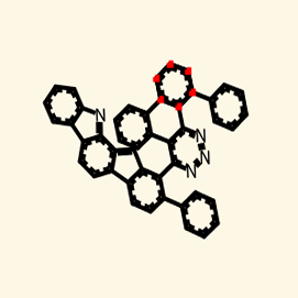 C1=c2c(ccc3c2=Nc2ccccc2-3)-c2ccc(-c3ccccc3)c(-c3nnnc(-c4ccccc4-c4ccccc4)c3-c3ccccc3-c3ccccc3)c21